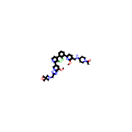 COc1nc(-c2cccc(-c3ccnc(-c4cc(OC)c5nc(CN6CC7(COC7)C6)nn5c4)c3Cl)c2Cl)ccc1CNC1CCN(C(C)=O)CC1